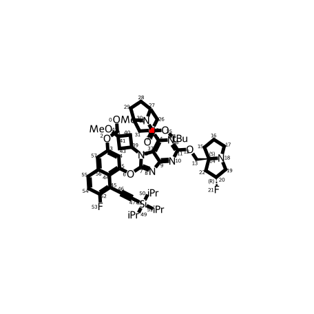 COCOc1cc(Oc2nc3nc(OC[C@@]45CCCN4C[C@H](F)C5)nc(N4CC5CCC(C4)N5C(=O)OC(C)(C)C)c3n2C2CC(OC)C2)c2c(C#C[Si](C(C)C)(C(C)C)C(C)C)c(F)ccc2c1